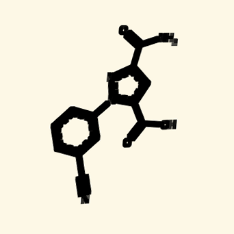 N#Cc1cccc(-n2nc(C(N)=O)cc2C(=O)O)c1